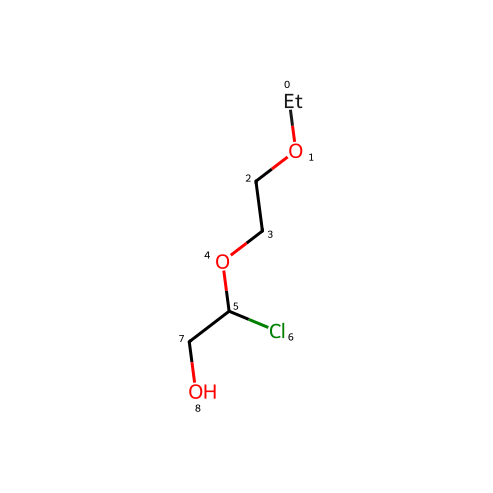 CCOCCOC(Cl)CO